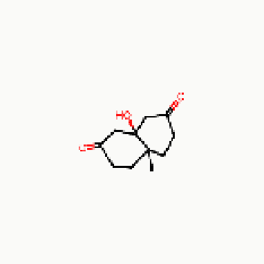 C[C@]12CCC(=O)C[C@@]1(O)CC(=O)CC2